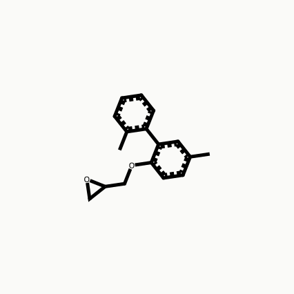 Cc1ccc(OCC2CO2)c(-c2ccccc2C)c1